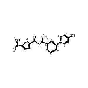 CC(NC(=O)c1ccc(C(=O)O)s1)c1cccc(-c2ccc(Cl)cc2)c1